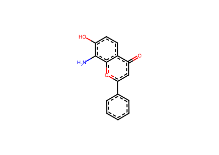 Nc1c(O)ccc2c(=O)cc(-c3ccccc3)oc12